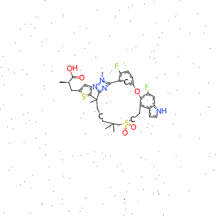 C[C@H](Cc1ccc(C2(C)CCCC(C)(C)CS(=O)(=O)CCc3c(c(F)cc4[nH]ccc34)Oc3ccc(F)c(c3)-c3nc2nn3C)s1)C(=O)O